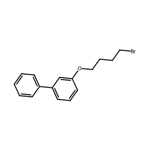 BrCCCCOc1cccc(-c2ccccc2)c1